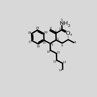 C=C(C(N)=O)C(CCC)C(CCCCC)c1ccccc1